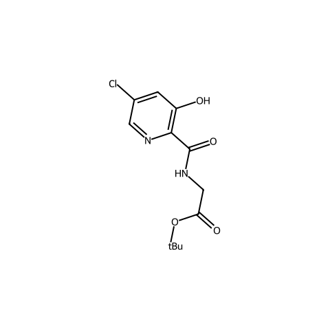 CC(C)(C)OC(=O)CNC(=O)c1ncc(Cl)cc1O